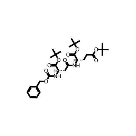 CC(C)(C)OC(=O)CC[C@H](NC(=O)C[C@H](NC(=O)OCc1ccccc1)C(=O)OC(C)(C)C)C(=O)OC(C)(C)C